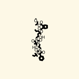 CCCC(C)(CC(O)CN1C(=O)N(CC(O)CN2C(=O)C(c3ccccc3)N(C(C)(C)CC)C2=O)C(C)(C)C1=O)OC(=O)C1C2C=CC(C2)C1C(=O)OC(C)COC